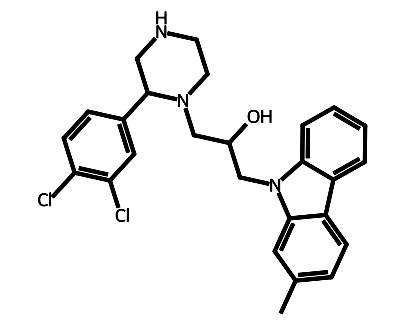 Cc1ccc2c3ccccc3n(CC(O)CN3CCNCC3c3ccc(Cl)c(Cl)c3)c2c1